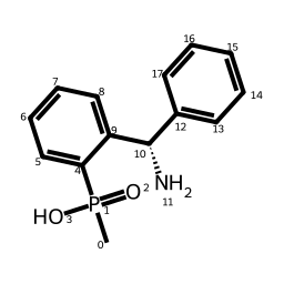 CP(=O)(O)c1ccccc1[C@@H](N)c1ccccc1